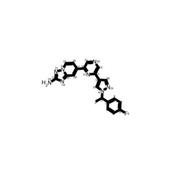 CC(c1ccc(F)cc1)n1cc(-c2cncc(-c3ccn4nc(N)nc4c3)n2)cn1